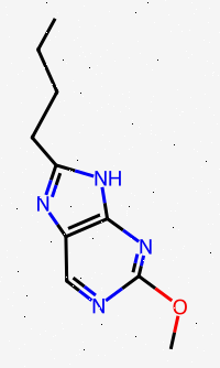 CCCCc1nc2cnc(OC)nc2[nH]1